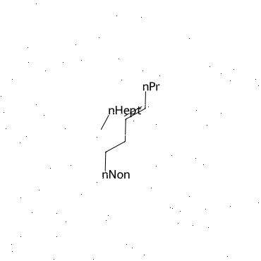 CCCC=CCCCCCCCCCCC.CCCCCCCC